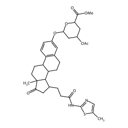 COC(=O)C1CC(OC(C)=O)CC(Oc2ccc3c(c2)CCC2C3CCC3(C)C(=O)CC(CCC(=O)Nc4ncc(C)s4)C23)O1